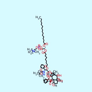 CCCCCCCCCCCCCCCC(=O)OC[C@@H](COP(=O)(O)OCC[N+](C)(C)C)OC(=O)CCCCCCCC(=O)OC(C(=O)OC1C[C@@]2(O)[C@@H](OC(=O)c3ccccc3)[C@@H]3[C@]4(OC(C)=O)CO[C@@H]4C[C@H](O)[C@@]3(C)C(=O)[C@H](O)C(=C1C)C2(C)C)[C@@H](NC(=O)OC(C)(C)C)c1ccccc1